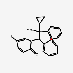 COC(c1ccccc1)(C1CC1)C(c1ccccc1)n1cc(F)ccc1=O